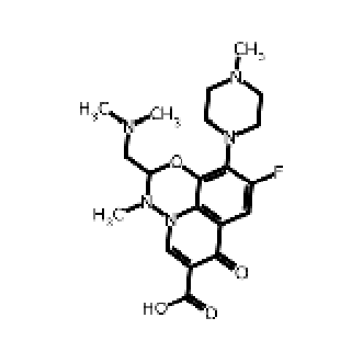 CN(C)CC1Oc2c(N3CCN(C)CC3)c(F)cc3c(=O)c(C(=O)O)cn(c23)N1C